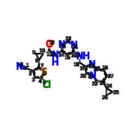 N#Cc1cc(Cl)sc1[C@H]1C[C@@H]1C(=O)Nc1cc(NCc2cn3cc(C4CC4)ccc3n2)ncn1